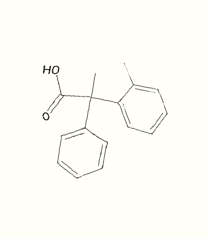 Cc1ccccc1C(C)(C(=O)O)c1ccccc1